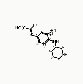 Cl.Cl.O=C(O)C(F)=Cc1ccc(N[C@@H]2CCCNC2)nc1